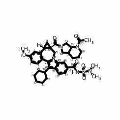 COc1ccc2c(c1)[C@@H]1C[C@]1(C(=O)N1CC3CCCN(C(C)=O)C3C1)Cn1c-2c(C2CCCCC2)c2ccc(C(=O)NS(=O)(=O)N(C)C)cc21